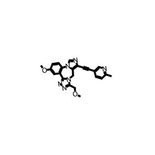 COCc1nnc2n1Cc1c(C#Cc3ccc(C)nc3)ncn1-c1ccc(OC)cc1-2